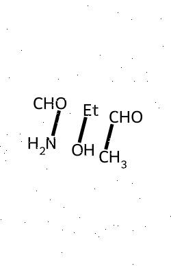 CC=O.CCO.NC=O